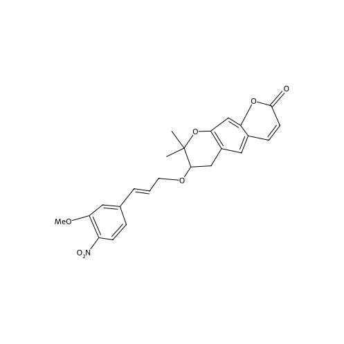 COc1cc(C=CCOC2Cc3cc4ccc(=O)oc4cc3OC2(C)C)ccc1[N+](=O)[O-]